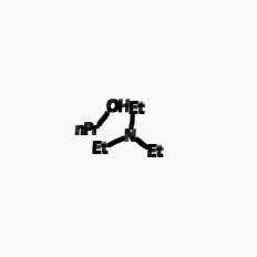 CCCO.CCN(CC)CC